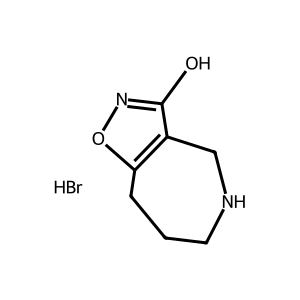 Br.Oc1noc2c1CNCCC2